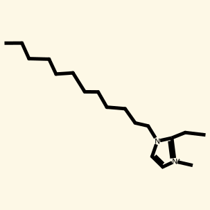 CCCCCCCCCCCCn1cc[n+](C)c1CC